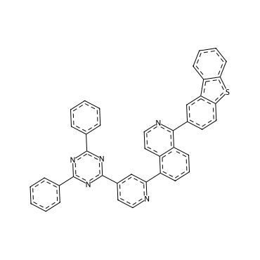 c1ccc(-c2nc(-c3ccccc3)nc(-c3ccnc(-c4cccc5c(-c6ccc7sc8ccccc8c7c6)nccc45)c3)n2)cc1